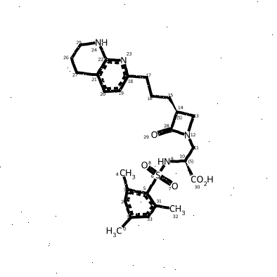 Cc1cc(C)c(S(=O)(=O)N[C@@H](CN2C[C@H](CCCc3ccc4c(n3)NCCC4)C2=O)C(=O)O)c(C)c1